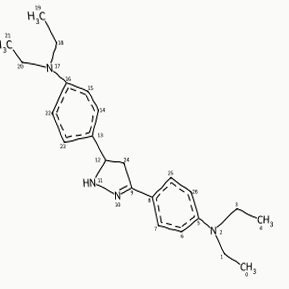 CCN(CC)c1ccc(C2=NNC(c3ccc(N(CC)CC)cc3)C2)cc1